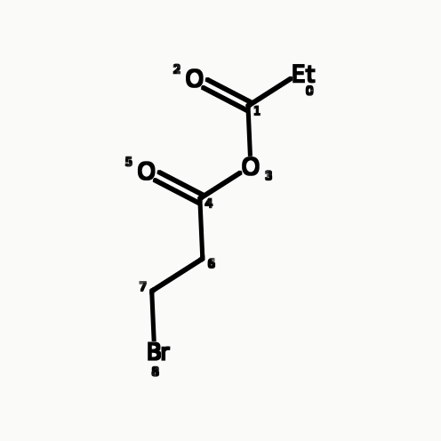 CCC(=O)OC(=O)CCBr